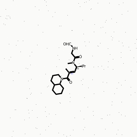 C/C(=C\[C@H](C(C)C)N(C)C(=O)CNC=O)C(=O)N1CCCC2CCCCC21